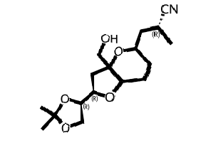 C[C@@H](C#N)CC1CCC2O[C@@H]([C@H]3COC(C)(C)O3)CC2(CO)O1